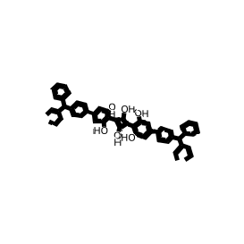 C/C=C\C(=C/C)C(c1ccccc1)c1ccc(-c2cc(O)c(C3=C(O)C(c4c(O)cc(-c5ccc(C(C(/C=C\C)=C/C)c6ccccc6)cc5)cc4O)=C3O)c(O)c2)cc1